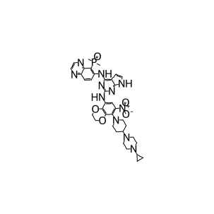 CP(C)(=O)c1c(Nc2nc(Nc3cc([N+](=O)[O-])c(N4CCC(N5CCN(C6CC6)CC5)CC4)c4c3OCCO4)nc3[nH]ccc23)ccc2nccnc12